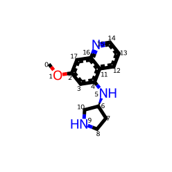 COc1cc(N[C@H]2CCNC2)c2cccnc2c1